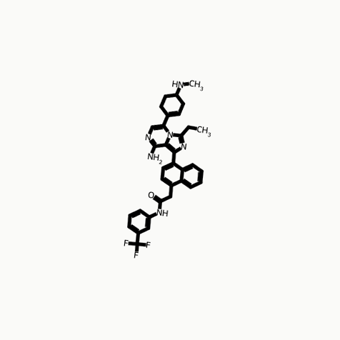 CCc1nc(-c2ccc(CC(=O)Nc3cccc(C(F)(F)F)c3)c3ccccc23)c2c(N)ncc(C3=CCC(NC)CC3)n12